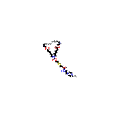 CCCCCC/C=C\COC(=O)CCCCCN(CCCCCC(=O)OC/C=C\CCCCCC)C(=O)OCCSSCCOC(=O)NCCN1CCN(C)CC1